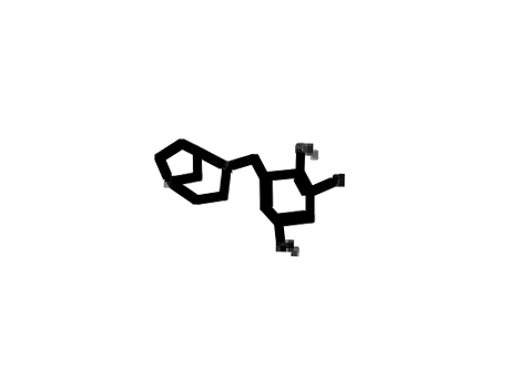 Cc1c(Cl)cc(N)cc1CN1CCN2CCC1C2